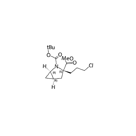 COC(=O)[C@]1(CCCCl)C[C@H]2C[C@H]2N1C(=O)OC(C)(C)C